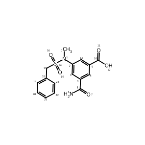 CN(c1cc(C(N)=O)cc(C(=O)O)c1)S(=O)(=O)Cc1ccccc1